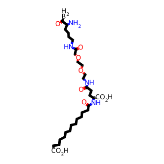 BC(=O)C(N)CCCCNC(=O)COCCOCCNC(=O)CCC(NC(=O)CCCCCCCCCCCCC(=O)O)C(=O)O